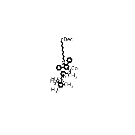 CCCCCCCCCCCCCCCCCCCCOc1c(-c2ccccc2)cc(N=C(C)c2cccc(C(C)=Nc3c(C)cc(C)cc3C)n2)cc1-c1ccccc1.[Co]